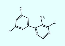 Nc1c(Cl)ncnc1-c1cc(Cl)cc(Cl)c1